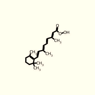 CC1=C(/C=C/C(C)=C/C=C/C(C)=C/C(=O)OO)C(C)(C)CCC1